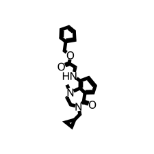 CN1CCN(CC2CC2)C(=O)c2cccc(NCC(=O)OCc3ccccc3)c21